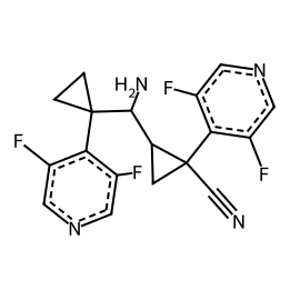 N#CC1(c2c(F)cncc2F)CC1C(N)C1(c2c(F)cncc2F)CC1